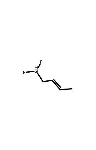 CC=CC[SiH](F)F